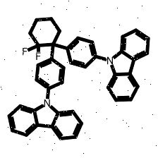 FC1(F)CCCCC1(c1ccc(-n2c3ccccc3c3ccccc32)cc1)c1ccc(-n2c3ccccc3c3ccccc32)cc1